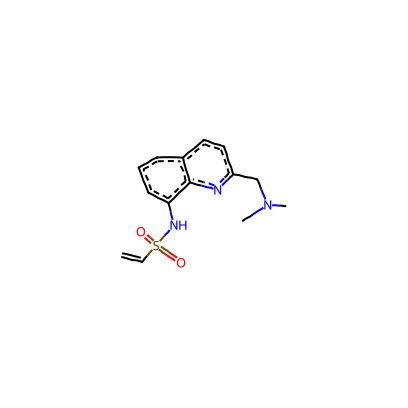 C=CS(=O)(=O)Nc1cccc2ccc(CN(C)C)nc12